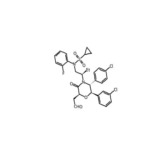 CC[C@H](CN(c1ccccc1F)S(=O)(=O)C1CC1)N1C(=O)[C@H](CC=O)O[C@H](c2cccc(Cl)c2)[C@H]1c1ccc(Cl)cc1